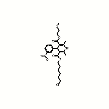 COCCOC(=O)C1=C(C)NC(C)=C(C(=O)OCCCCCCCl)C1c1cccc([N+](=O)[O-])c1